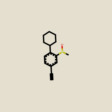 C#Cc1ccc(C2CCCCC2)c([S+](C)[O-])c1